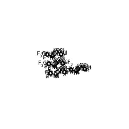 C[C@H]1Cn2c(nnc2-c2cc(F)c(F)c(F)c2)CN1C(=O)c1cccc(C(F)(F)F)c1Cl.C[C@H]1Cn2c(nnc2-c2ccc(C(F)(F)F)c(F)c2)CN1C(=O)c1cccc(C(F)(F)F)c1Cl.C[C@H]1Cn2c(nnc2-c2ccc(C(F)(F)F)c(F)c2)CN1C(=O)c1cccc(Cl)c1Cl.C[C@H]1Cn2c(nnc2-c2ccccn2)CN1C(=O)c1cccc(Cl)c1Cl